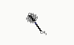 CCCCCCCC/C=C/NC(=O)[C@@H](O)[C@H](O)[C@@H](O)[C@@H](O)C(=O)O